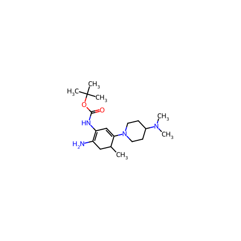 CC1CC(N)=C(NC(=O)OC(C)(C)C)C=C1N1CCC(N(C)C)CC1